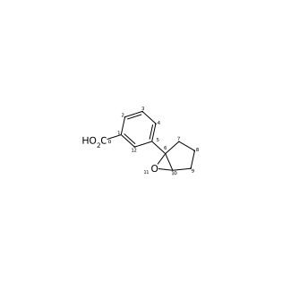 O=C(O)c1cccc(C23CCCC2O3)c1